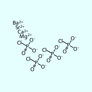 O=P([O-])([O-])Cl.O=P([O-])([O-])Cl.O=P([O-])([O-])Cl.O=P([O-])([O-])Cl.[Ba+2].[Ca+2].[Mg+2].[Sr+2]